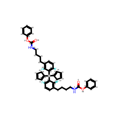 O=C(NCCCCc1ccc(F)[c]([Ti]([C]2=CC=CC2)([C]2=CC=CC2)[c]2c(F)ccc(CCCCNC(=O)Oc3ccccc3)c2F)c1F)Oc1ccccc1